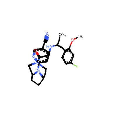 COc1cc(F)ccc1C(C)NCC(=O)N1CC2CCC(C1)N2c1ccc(C#N)cn1